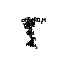 Nc1nc2ncc(CNc3ccc(C(=O)NCCCC(=O)NCCNC(=O)CCC(C=O)N4CCN(CC(=O)O)CCN(CC(=O)O)CC4)cc3)nc2c(=O)[nH]1